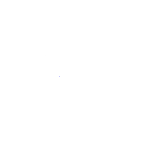 C=COC(=O)CCN(CC)c1cccc(C)c1